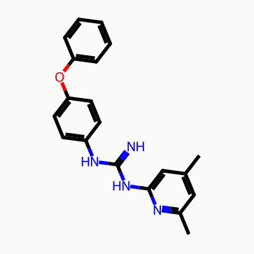 Cc1cc(C)nc(NC(=N)Nc2ccc(Oc3ccccc3)cc2)c1